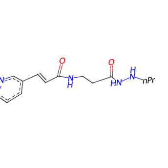 CCCNNC(=O)CCNC(=O)/C=C/c1cccnc1